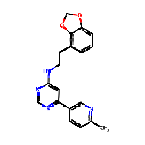 Cc1ccc(-c2cc(NCCc3cccc4c3OCO4)ncn2)cn1